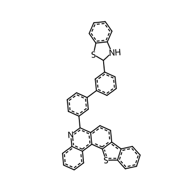 c1cc(-c2cccc(C3Nc4ccccc4S3)c2)cc(-c2nc3ccccc3c3c2ccc2c4ccccc4sc23)c1